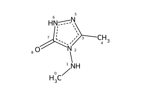 CNn1c(C)n[nH]c1=O